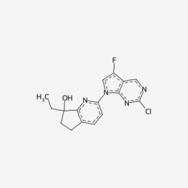 CCC1(O)CCc2ccc(-n3cc(F)c4cnc(Cl)nc43)nc21